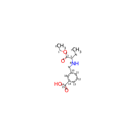 CCOC(=O)C(CC)NCc1cccc(C(=O)O)c1